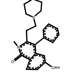 COc1ccc2c(=O)n(C)c(CCN3CCCCC3)c(-c3ccccc3)c2c1